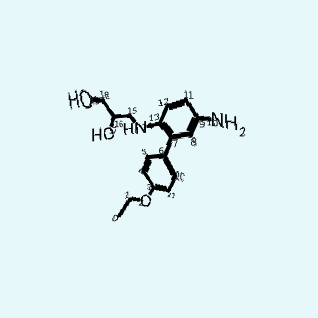 CCOc1ccc(-c2cc(N)ccc2NCC(O)CO)cc1